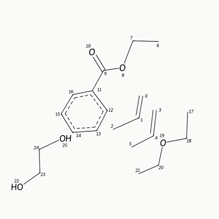 C=CC.C=CC.CCOC(=O)c1ccccc1.CCOCC.OCCO